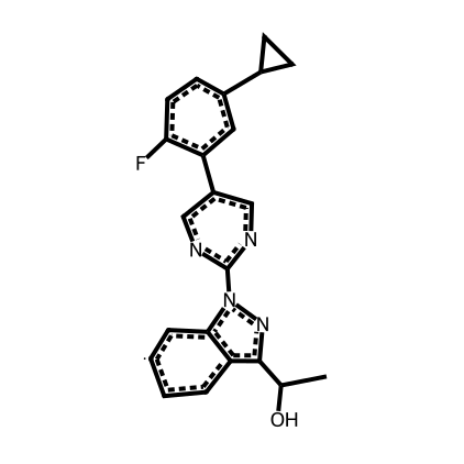 CC(O)c1nn(-c2ncc(-c3cc(C4CC4)ccc3F)cn2)c2c[c]ccc12